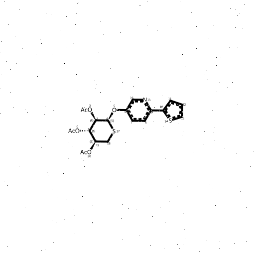 CC(=O)O[C@@H]1[C@@H](OC(C)=O)[C@@H](Oc2ccc(-c3cccs3)nc2)SC[C@H]1OC(C)=O